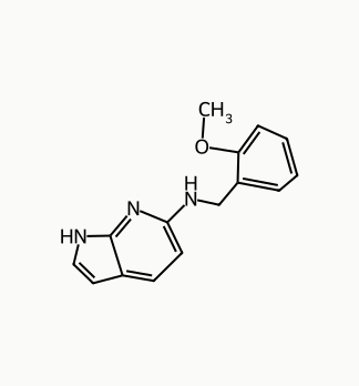 COc1ccccc1CNc1ccc2cc[nH]c2n1